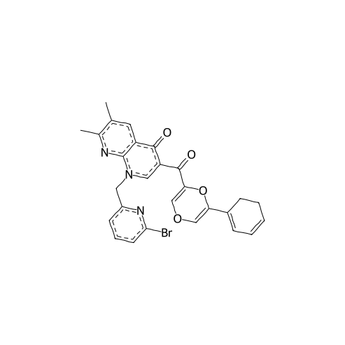 Cc1cc2c(=O)c(C(=O)C3=COC=C(C4=CC=CCC4)O3)cn(Cc3cccc(Br)n3)c2nc1C